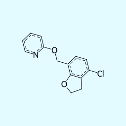 Clc1ccc(COc2ccccn2)c2c1CCO2